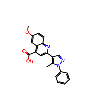 COc1ccc2nc(-c3cnn(-c4ccccc4)c3C)cc(C(=O)O)c2c1